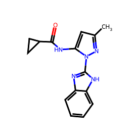 Cc1cc(NC(=O)C2CC2)n(-c2nc3ccccc3[nH]2)n1